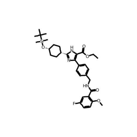 CCOC(=O)c1[nH]c([C@H]2CC[C@@H](O[Si](C)(C)C(C)(C)C)CC2)nc1-c1ccc(CNC(=O)c2cc(F)ccc2OC)cc1